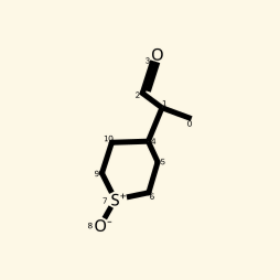 CC(C=O)C1CC[S+]([O-])CC1